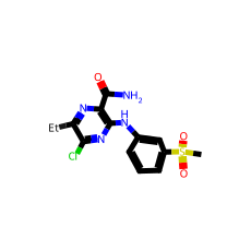 CCc1nc(C(N)=O)c(Nc2cccc(S(C)(=O)=O)c2)nc1Cl